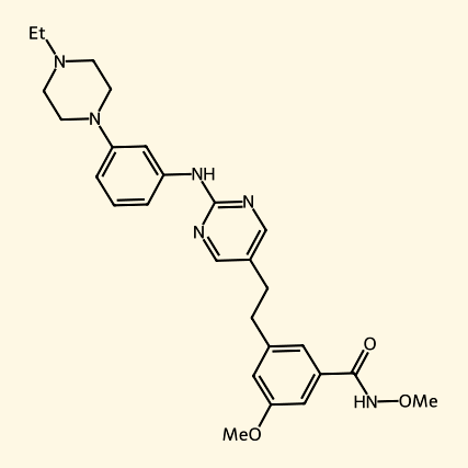 CCN1CCN(c2cccc(Nc3ncc(CCc4cc(OC)cc(C(=O)NOC)c4)cn3)c2)CC1